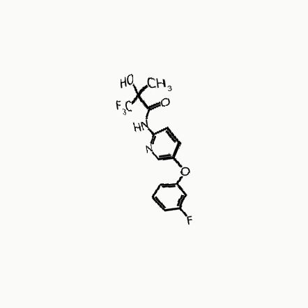 CC(O)(C(=O)Nc1ccc(Oc2cccc(F)c2)cn1)C(F)(F)F